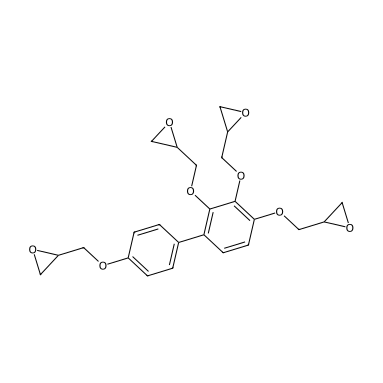 c1cc(-c2ccc(OCC3CO3)c(OCC3CO3)c2OCC2CO2)ccc1OCC1CO1